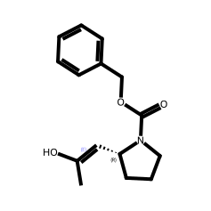 C/C(O)=C\[C@H]1CCCN1C(=O)OCc1ccccc1